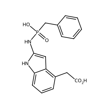 O=C(O)Cc1cccc2[nH]c(NP(=O)(O)Cc3ccccc3)cc12